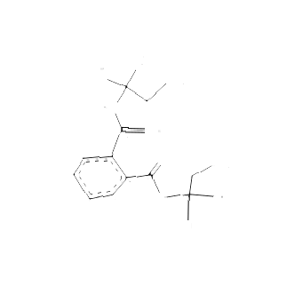 CCC(C)(O)OC(=O)c1ccccc1C(=O)OC(C)(O)CC